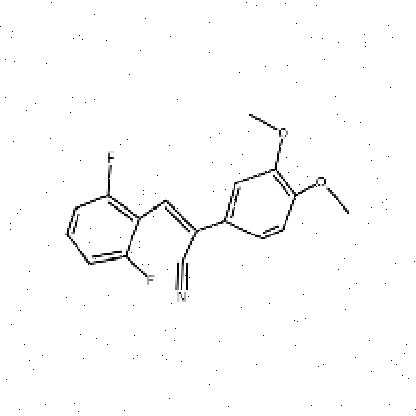 COc1ccc(C(C#N)=Cc2c(F)cccc2F)cc1OC